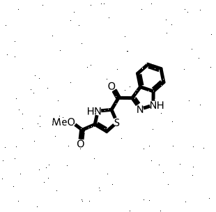 COC(=O)C1=CSC(C(=O)c2n[nH]c3ccccc23)N1